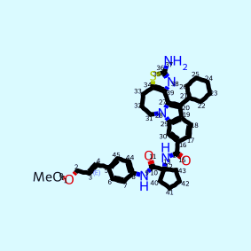 COOC/C=C/c1ccc(NC(=O)C2(NC(=O)c3ccc4c(C5CCCCC5)c5n(c4c3)CCCc3sc(N)nc3-5)CCCC2)cc1